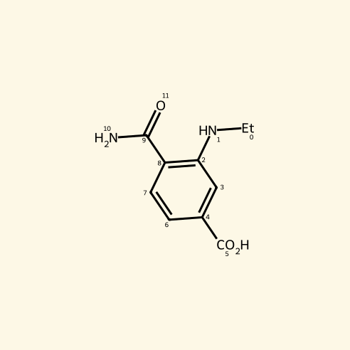 CCNc1cc(C(=O)O)ccc1C(N)=O